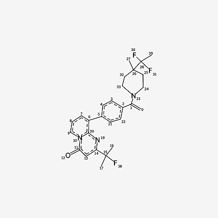 C=C(c1ccc(-c2cccn3c(=O)cc(C(C)(C)F)nc23)cc1)N1CCC(C)(C(C)(F)F)CC1